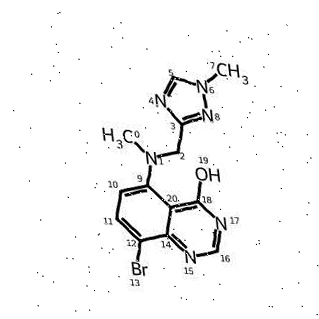 CN(Cc1ncn(C)n1)c1ccc(Br)c2ncnc(O)c12